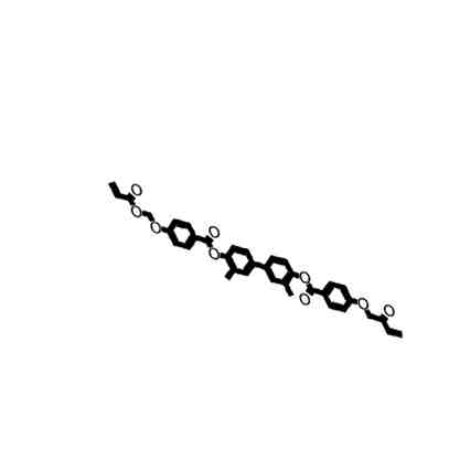 C=CC(=O)COc1ccc(C(=O)Oc2ccc(-c3ccc(OC(=O)c4ccc(OCOC(=O)C=C)cc4)c(C)c3)cc2C)cc1